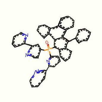 O=P(c1ccnc(-c2ccccn2)c1)(c1cccc(-c2ccccn2)n1)c1c2ccccc2c(-c2ccccc2)c2c3ccccc3c3ccccc3c12